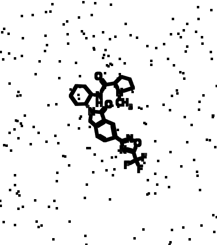 CN1CCCC1C(=O)N[C@@H]1CCCC[C@H]1N1Cc2ccc(-c3noc(C(F)(F)F)n3)cc2C1=O